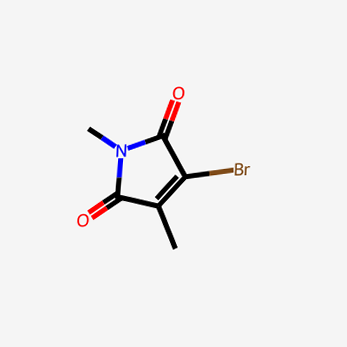 CC1=C(Br)C(=O)N(C)C1=O